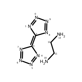 N1=NC(=C2N=NN=N2)N=N1.NCCN